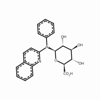 O=C(O)[C@H]1O[C@@H](N(c2ccccc2)c2ccc3ccccc3n2)[C@H](O)[C@@H](O)[C@@H]1O